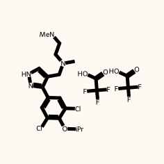 CNCCN(C)Cc1c[nH]nc1-c1cc(Cl)c(OC(C)C)c(Cl)c1.O=C(O)C(F)(F)F.O=C(O)C(F)(F)F